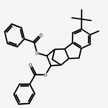 Cc1cc2c(cc1C(C)(C)C)C1C(C2)C2CC1C(OC(=O)c1ccccc1)C2OC(=O)c1ccccc1